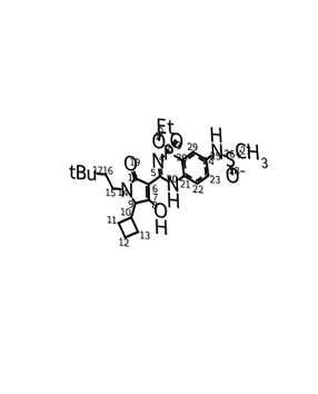 CCOP1(=O)N=C(C2=C(O)C(C3CCC3)N(CCC(C)(C)C)C2=O)Nc2ccc(N[S+](C)[O-])cc21